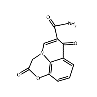 NC(=O)c1cn2c3c(cccc3c1=O)OC(=O)C2